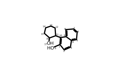 Oc1ccc2ccccc2c1C1CCCCC1O